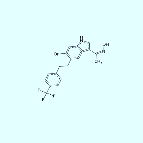 C/C(=N/O)c1c[nH]c2cc(Br)c(CCc3ccc(C(F)(F)F)cc3)cc12